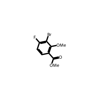 COC(=O)c1ccc(F)c(Br)c1OC